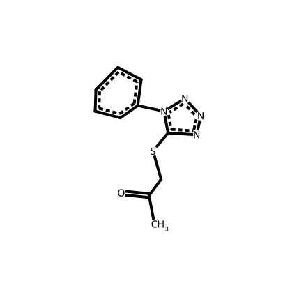 CC(=O)CSc1nnnn1-c1ccccc1